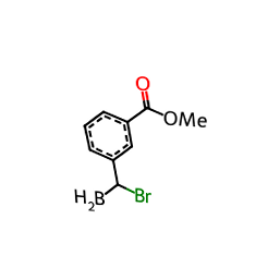 BC(Br)c1cccc(C(=O)OC)c1